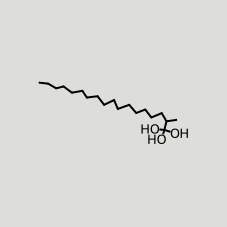 CCCCCCCCCCCCCCCCC(C)C(O)(O)O